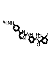 CC(=O)Nc1ccc(-c2ccnc(Nc3cccc(NC(=O)c4cccc(I)c4Cl)c3)n2)cc1